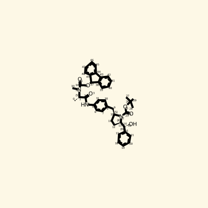 C[C@@H](C(=O)Nc1ccc(C[C@@H]2CC[C@H]([C@H](O)c3ccccc3)N2C(=O)OC(C)(C)C)cc1)N(C)C(=O)OC1c2ccccc2-c2ccccc21